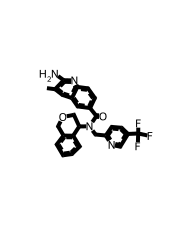 Cc1cc2cc(C(=O)N(Cc3ccc(C(F)(F)F)cn3)C3COCc4ccccc43)ccc2nc1N